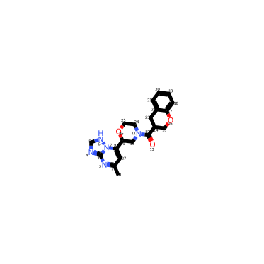 CC1=NC2=NCNN2C(C2CN(C(=O)C3COc4ccccc4C3)CCO2)=C1